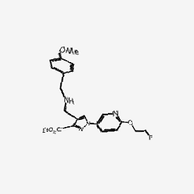 CCOC(=O)c1nn(-c2ccc(OCCF)nc2)cc1CNCc1ccc(OC)cc1